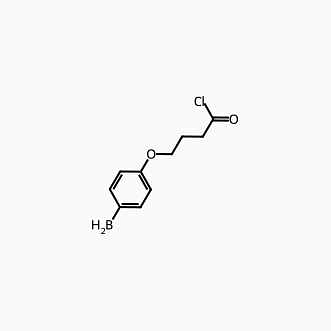 Bc1ccc(OCCCC(=O)Cl)cc1